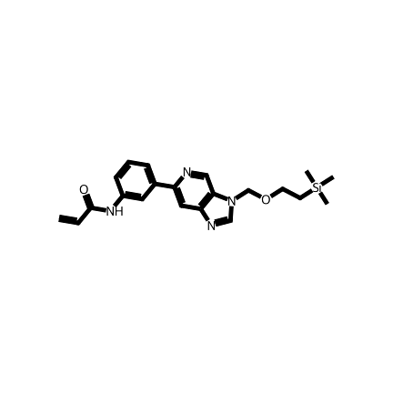 C=CC(=O)Nc1cccc(-c2cc3ncn(COCC[Si](C)(C)C)c3cn2)c1